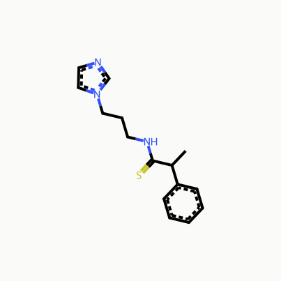 CC(C(=S)NCCCn1ccnc1)c1ccccc1